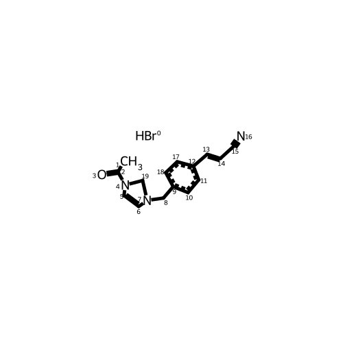 Br.CC(=O)N1C=CN(Cc2ccc(C=CC#N)cc2)C1